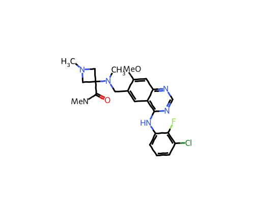 CNC(=O)C1(N(C)Cc2cc3c(Nc4cccc(Cl)c4F)ncnc3cc2OC)CN(C)C1